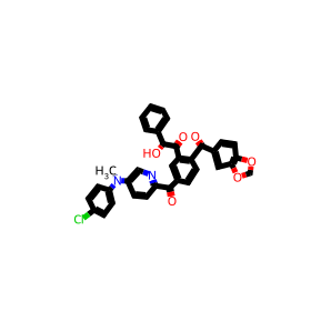 CN(c1ccc(Cl)cc1)c1ccc(C(=O)c2ccc(C(=O)c3ccc4c(c3)OCO4)c(C(=O)C(O)c3ccccc3)c2)nc1